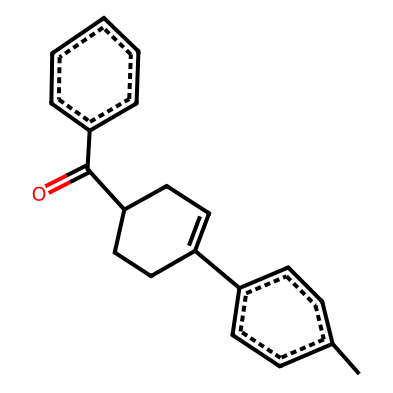 Cc1ccc(C2=CCC(C(=O)c3ccccc3)CC2)cc1